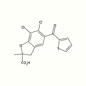 CC1(C(=O)O)Cc2cc(C(=O)c3cccs3)c(Cl)c(Cl)c2O1